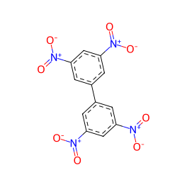 O=[N+]([O-])c1cc(-c2cc([N+](=O)[O-])cc([N+](=O)[O-])c2)cc([N+](=O)[O-])c1